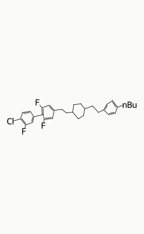 CCCCc1ccc(CCC2CCC(CCc3cc(F)c(-c4ccc(Cl)c(F)c4)c(F)c3)CC2)cc1